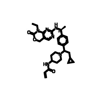 C=CC(=O)NC1CCN(C(CC2CC2)c2ccc([C@H](C)Nc3ncc4c(n3)N(CC)C(=O)OC4)cc2)CC1